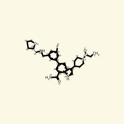 CC[S+]([O-])N1CCC(c2c[nH]c3c(C(N)=O)cc(-c4cc(F)cc(CNC[C@@H]5CCCO5)c4)cc23)CC1